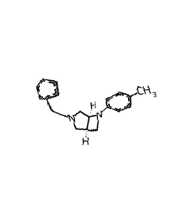 Cc1ccc(N2C[C@H]3CN(Cc4ccccc4)C[C@H]32)cc1